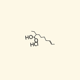 CC=CCCCCC(CC)C(=O)O.Cl